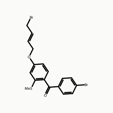 CSc1cc(OCC=CCBr)ccc1C(=O)c1ccc(Br)cc1